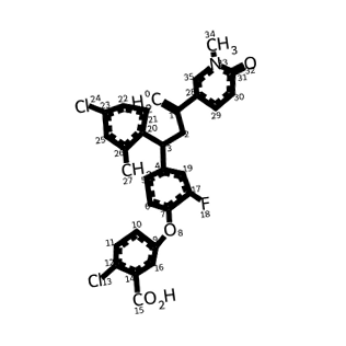 C=C(CC(c1ccc(Oc2ccc(Cl)c(C(=O)O)c2)c(F)c1)c1ccc(Cl)cc1C)c1ccc(=O)n(C)c1